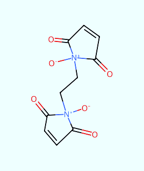 O=C1C=CC(=O)[N+]1([O-])CC[N+]1([O-])C(=O)C=CC1=O